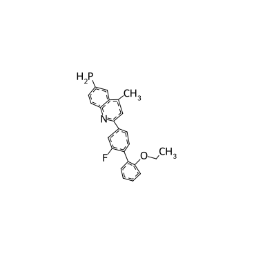 CCOc1ccccc1-c1ccc(-c2cc(C)c3cc(P)ccc3n2)cc1F